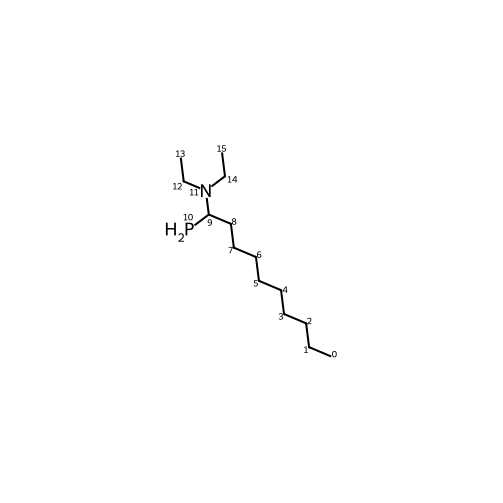 CCCCCCCCCC(P)N(CC)CC